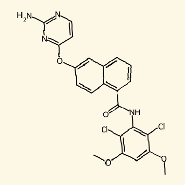 COc1cc(OC)c(Cl)c(NC(=O)c2cccc3cc(Oc4ccnc(N)n4)ccc23)c1Cl